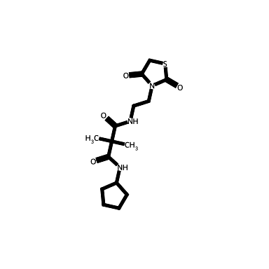 CC(C)(C(=O)NCCN1C(=O)CSC1=O)C(=O)NC1CCCC1